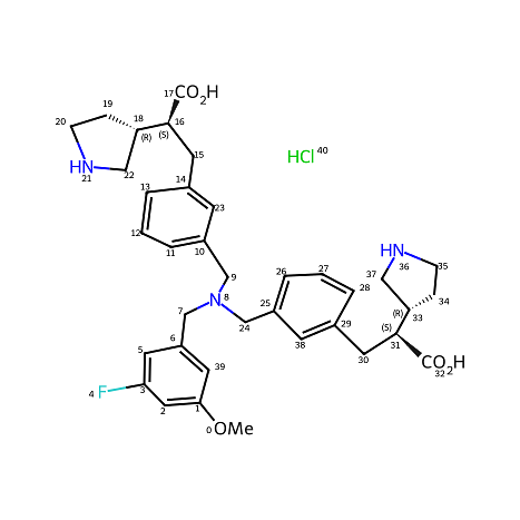 COc1cc(F)cc(CN(Cc2cccc(C[C@H](C(=O)O)[C@H]3CCNC3)c2)Cc2cccc(C[C@H](C(=O)O)[C@H]3CCNC3)c2)c1.Cl